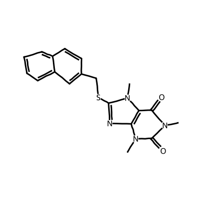 Cn1c(=O)c2c(nc(SCc3ccc4ccccc4c3)n2C)n(C)c1=O